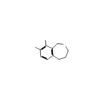 O=[N+]([O-])c1ccc2c(c1F)CNCCC2